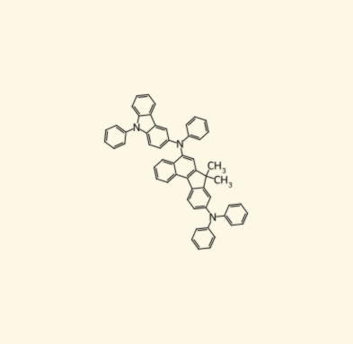 CC1(C)c2cc(N(c3ccccc3)c3ccccc3)ccc2-c2c1cc(N(c1ccccc1)c1ccc3c(c1)c1ccccc1n3-c1ccccc1)c1ccccc21